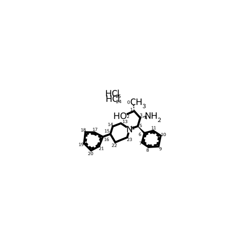 C[C@@H](O)[C@H](N)[C@@H](c1ccccc1)N1CCC(c2ccccc2)CC1.Cl.Cl